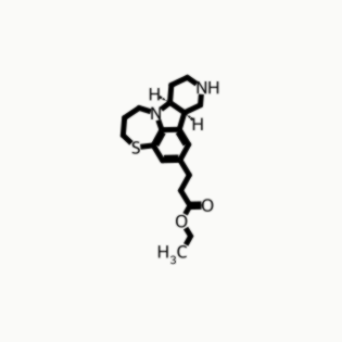 CCOC(=O)CCc1cc2c3c(c1)[C@@H]1CNCC[C@@H]1N3CCCS2